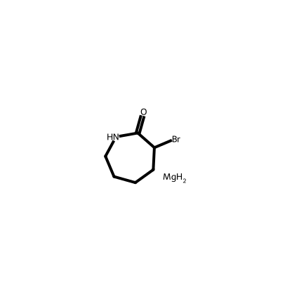 O=C1NCCCCC1Br.[MgH2]